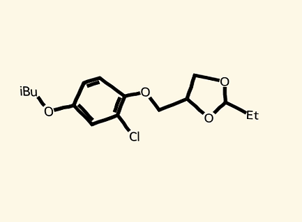 CCC(C)Oc1ccc(OCC2COC(CC)O2)c(Cl)c1